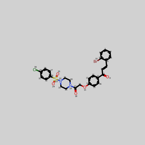 O=C(C=Cc1ccccc1Br)c1ccc(OCC(=O)N2CCN(S(=O)(=O)c3ccc(Cl)cc3)CC2)cc1